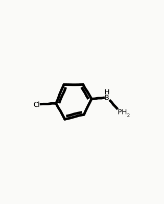 PBc1ccc(Cl)cc1